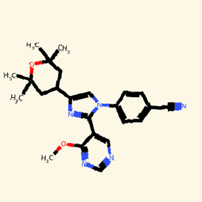 COc1ncncc1-c1nc(C2CC(C)(C)OC(C)(C)C2)cn1-c1ccc(C#N)cc1